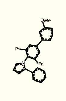 COc1cccc(-c2cc(C(C)C)c(-n3cccc3-c3ccccc3)c(C(C)C)c2)c1